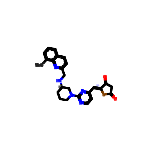 COc1cccc2ccc(CN[C@H]3CCCN(c4nccc(/C=C5\SC(=O)CC5=O)n4)C3)nc12